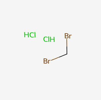 BrCBr.Cl.Cl